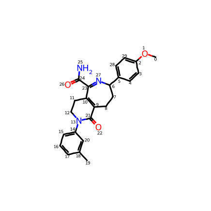 COc1ccc(C2CCC3=C(CCN(c4cccc(C)c4)C3=O)C(C(N)=O)=N2)cc1